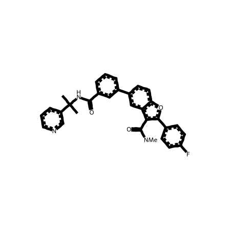 CNC(=O)c1c(-c2ccc(F)cc2)oc2ccc(-c3cccc(C(=O)NC(C)(C)c4cccnc4)c3)cc12